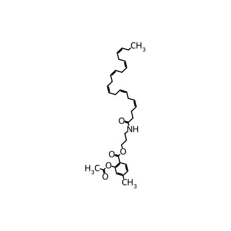 CC/C=C\C/C=C\C/C=C\C/C=C\C/C=C\C/C=C\CCC(=O)NCCCOC(=O)c1ccc(C)cc1OC(C)=O